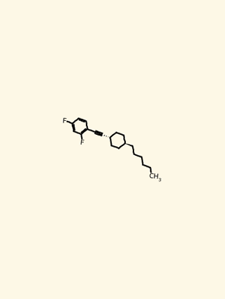 CCCCCC[C@H]1CC[C@H](C#Cc2ccc(F)cc2F)CC1